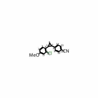 COc1ccc(C2CC2c2ccc(C#N)cc2)c(Cl)c1